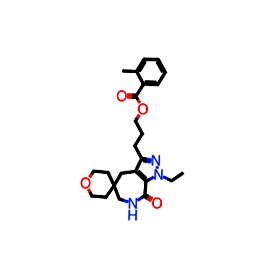 CCn1nc(CCCOC(=O)c2ccccc2C)c2c1C(=O)NCC1(CCOCC1)C2